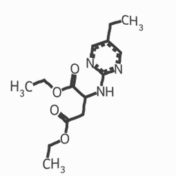 CCOC(=O)CC(Nc1ncc(CC)cn1)C(=O)OCC